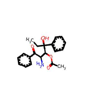 CCC(O)(c1ccccc1)C(OC(C)=O)C(N)C(=O)c1ccccc1